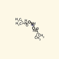 CCCCC(CC)CNC(=O)c1cccc(/N=N/Nc2cccc(C(=O)NCC(CC)CCCC)c2)c1